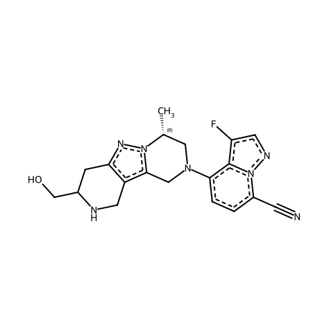 C[C@@H]1CN(c2ccc(C#N)n3ncc(F)c23)Cc2c3c(nn21)CC(CO)NC3